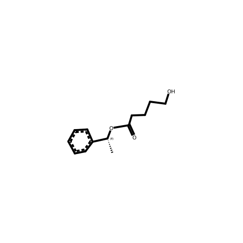 C[C@@H](OC(=O)CCCCO)c1ccccc1